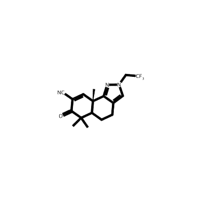 CC1(C)C(=O)C(C#N)=C[C@]2(C)c3nn(CC(F)(F)F)cc3CCC12